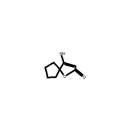 O=C1C=C(O)C2(CCCC2)O1